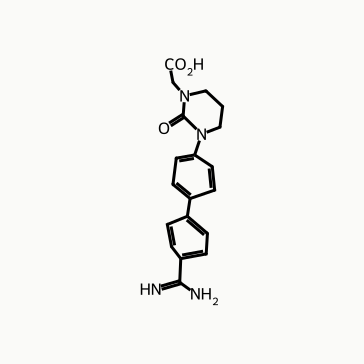 N=C(N)c1ccc(-c2ccc(N3CCCN(CC(=O)O)C3=O)cc2)cc1